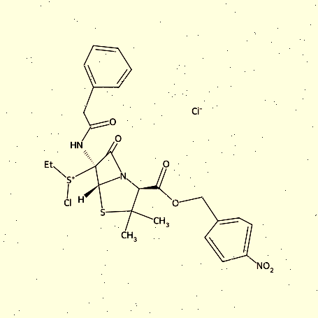 CC[S+](Cl)[C@@]1(NC(=O)Cc2ccccc2)C(=O)N2[C@@H](C(=O)OCc3ccc([N+](=O)[O-])cc3)C(C)(C)S[C@@H]21.[Cl-]